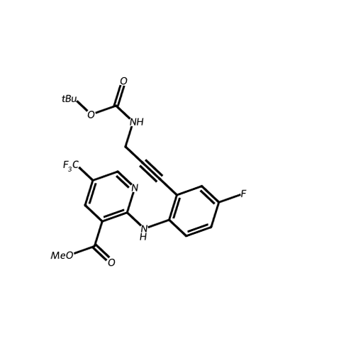 COC(=O)c1cc(C(F)(F)F)cnc1Nc1ccc(F)cc1C#CCNC(=O)OC(C)(C)C